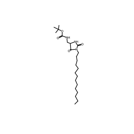 CCCCCCCCCCCCCCN1C(=O)NC(CNC(=O)OC(C)(C)C)C1=O